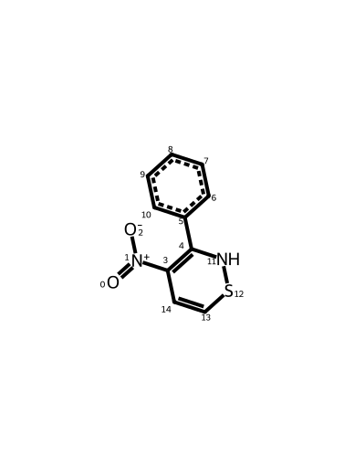 O=[N+]([O-])C1=C(c2ccccc2)NSC=C1